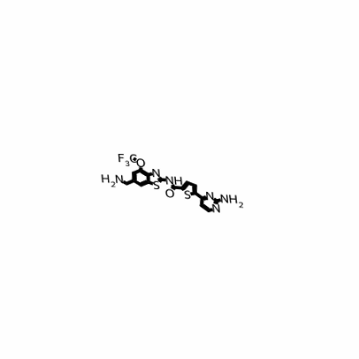 NCc1cc(OC(F)(F)F)c2nc(NC(=O)c3ccc(-c4ccnc(N)n4)s3)sc2c1